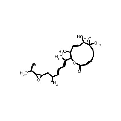 CCC(C)C(C)C1OC1CC(C)/C=C/C=C(\C)C1OC(=O)/C=C\CCC(C)(C)C(O)/C=C/C1C